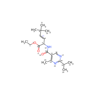 CCOC(=O)C(/C=C/C(C)(C)C)NC(=O)c1cnc(C(C)C)nc1C